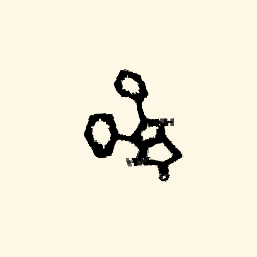 O=C1Cc2[nH]c(-c3ccccc3)c(-c3ccccc3)c2N1